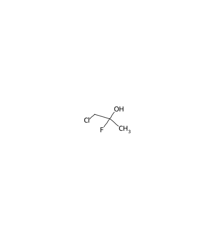 CC(O)(F)CCl